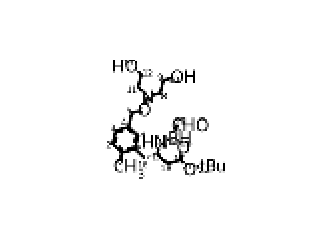 Cc1ccc(CON(CCO)CCO)cc1C[C@@H](CC(=O)OC(C)(C)C)NBC=O